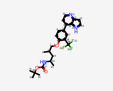 CC(COc1ccc(-c2ccnc3cc[nH]c23)cc1C(F)(F)F)CC(C)NC(=O)OC(C)(C)C